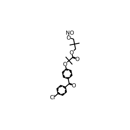 CC(C)(CON=O)COC(=O)C(C)(C)Oc1ccc(C(=O)c2ccc(Cl)cc2)cc1